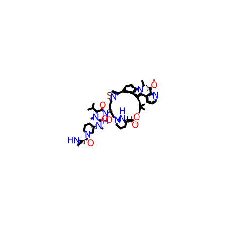 CCn1c(-c2cccnc2[C@H](C)OC)c2c3cc(ccc31)-c1csc(n1)C[C@H](NC(=O)C(C(C)C)N(C)C(=O)N(C)[C@H]1CCCN(C(=O)[C@H]3CN3)C1)C(=O)N1CCC[C@H](N1)C(=O)OCC(C)(C)C2